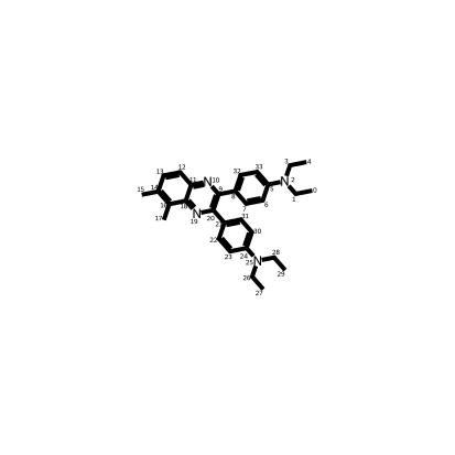 CCN(CC)c1ccc(-c2nc3ccc(C)c(C)c3nc2-c2ccc(N(CC)CC)cc2)cc1